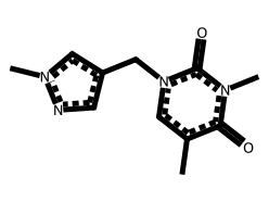 Cc1cn(Cc2cnn(C)c2)c(=O)n(C)c1=O